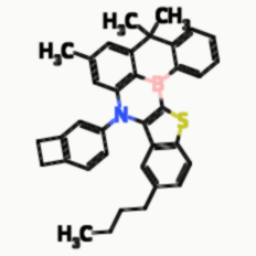 CCCCc1ccc2sc3c(c2c1)N(c1ccc2c(c1)CC2)c1cc(C)cc2c1B3c1ccccc1C2(C)C